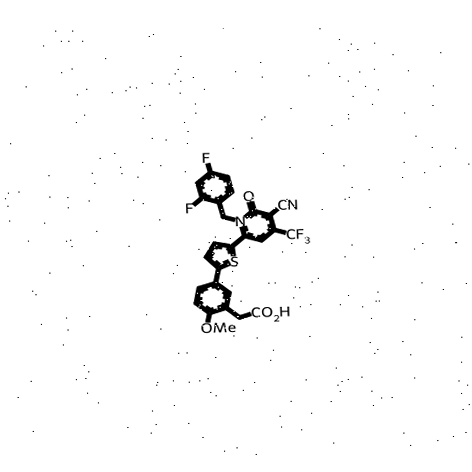 COc1ccc(-c2ccc(-c3cc(C(F)(F)F)c(C#N)c(=O)n3Cc3ccc(F)cc3F)s2)cc1CC(=O)O